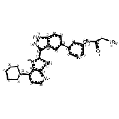 CC(C)(C)CC(=O)Nc1cncc(-c2ccc3[nH]nc(-c4nc5c(N6CCCCC6)ccnc5[nH]4)c3c2)c1